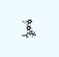 Cc1ccccc1Oc1ccc(N2N=C(C(F)(F)F)CC2CC(=O)O)cc1